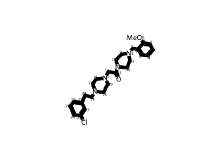 COc1ccccc1CN1CCN(C(=O)CN2CCN(CCc3cccc(Cl)c3)CC2)CC1